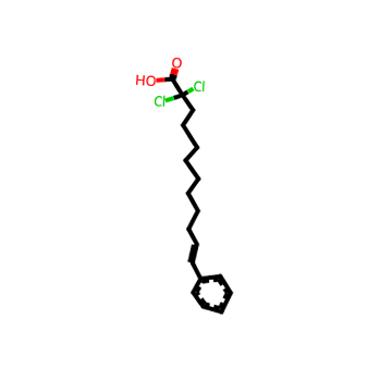 O=C(O)C(Cl)(Cl)CCCCCCCCC=Cc1ccccc1